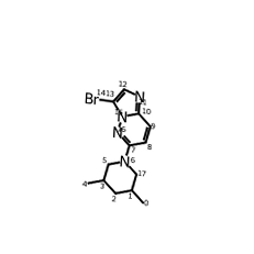 CC1CC(C)CN(c2ccc3ncc(Br)n3n2)C1